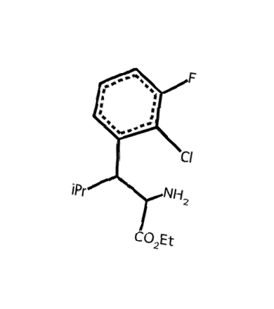 CCOC(=O)C(N)C(c1cccc(F)c1Cl)C(C)C